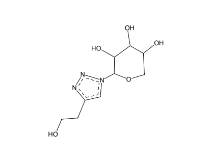 OCCc1cn(C2OCC(O)C(O)C2O)nn1